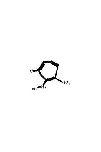 CCCCNc1c(Cl)cccc1[N+](=O)[O-]